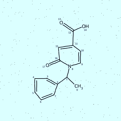 CC(c1ccccc1)n1ccc(C(=O)O)cc1=O